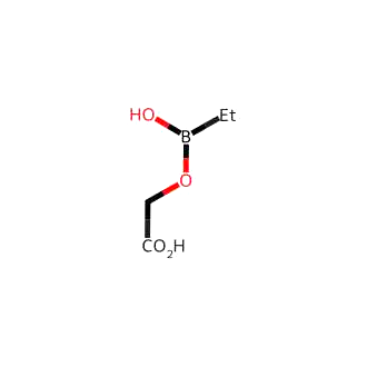 CCB(O)OCC(=O)O